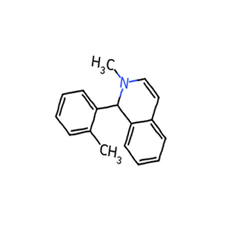 Cc1ccccc1C1c2ccccc2C=CN1C